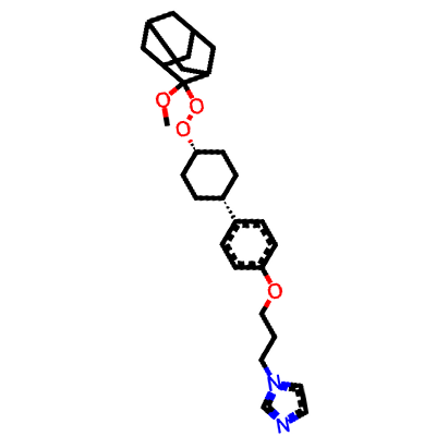 COC1(OO[C@H]2CC[C@@H](c3ccc(OCCCn4ccnc4)cc3)CC2)C2CC3CC(C2)CC1C3